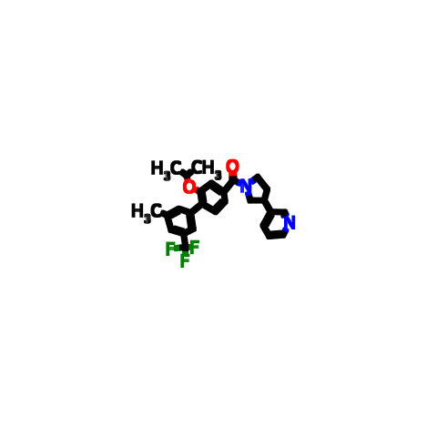 Cc1cc(-c2ccc(C(=O)N3CCC(c4cccnc4)C3)cc2OC(C)C)cc(C(F)(F)F)c1